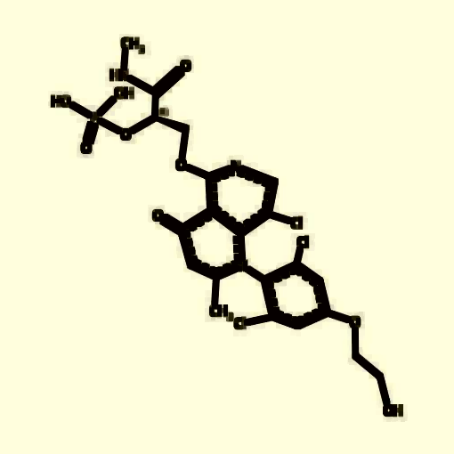 CNC(=O)[C@@H](COc1ncc(Cl)c2c1c(=O)cc(C)n2-c1c(Cl)cc(OCCO)cc1Cl)OP(=O)(O)O